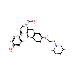 CC1=C(Cc2ccc(OCCN3CCCCC3)cc2)C(c2ccc(O)cc2)=CC[C@@H]1CO